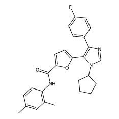 Cc1ccc(NC(=O)c2ccc(-c3c(-c4ccc(F)cc4)ncn3C3CCCC3)o2)c(C)c1